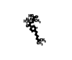 CC(C)CCCCC1CCN(C(=O)C(C)CC(C)(C)C(=O)O)CC1